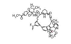 C=CC(=O)N1CC[C@]2(C1)OCN([C@H](C(=O)N[C@H]1Cc3cc(cc(C(F)F)c3)-c3ccc4c(c3)c(c(-c3cccnc3[C@H](C)OC)n4CC)CC(C)(C)COC(=O)[C@@H]3CCCN(N3)C1=O)C(C)C)C2=O